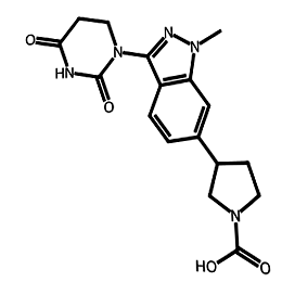 Cn1nc(N2CCC(=O)NC2=O)c2ccc(C3CCN(C(=O)O)C3)cc21